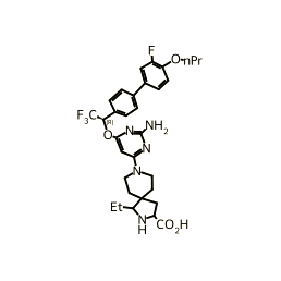 CCCOc1ccc(-c2ccc([C@@H](Oc3cc(N4CCC5(CC4)CC(C(=O)O)NC5CC)nc(N)n3)C(F)(F)F)cc2)cc1F